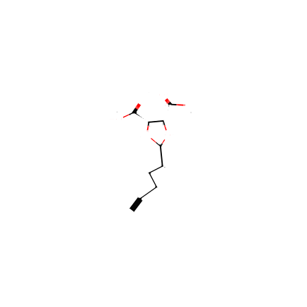 C#CCCCC1O[C@@H](C(=O)O)[C@H](C(=O)O)O1